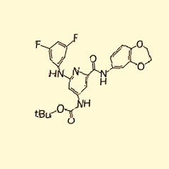 CC(C)(C)OC(=O)Nc1cc(Nc2cc(F)cc(F)c2)nc(C(=O)Nc2ccc3c(c2)OCCO3)c1